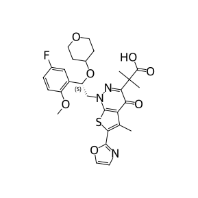 COc1ccc(F)cc1[C@@H](Cn1nc(C(C)(C)C(=O)O)c(=O)c2c(C)c(-c3ncco3)sc21)OC1CCOCC1